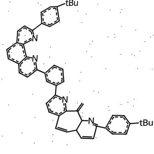 C=C1c2nc(-c3cccc(-c4ccc5ccc6ccc(-c7ccc(C(C)(C)C)cc7)nc6c5n4)c3)ccc2C=CC2C=CC(c3ccc(C(C)(C)C)cc3)=NC12